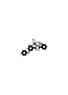 CC(C)(C)N(NC(=O)c1ccccc1Br)C(=O)c1cccc(Oc2ccccc2)c1